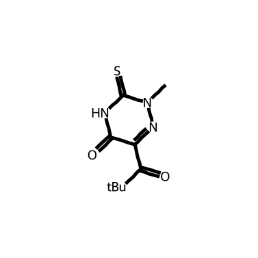 Cn1nc(C(=O)C(C)(C)C)c(=O)[nH]c1=S